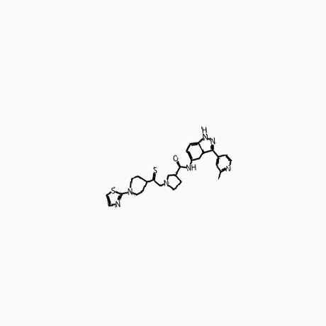 Cc1cc(C2=NNC3=CC=C(NC(=O)C4CCN(CC(=S)C5CCN(c6nccs6)CC5)C4)CC32)ccn1